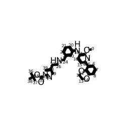 COc1nc(-c2cccc3c2OCCO3)ccc1Nc1cccc(CNCCc2cnn(C(=O)OC(C)(C)C)c2)c1